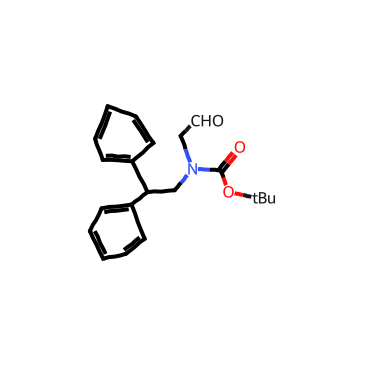 CC(C)(C)OC(=O)N(CC=O)CC(c1ccccc1)c1ccccc1